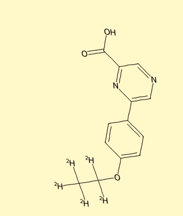 [2H]C([2H])([2H])C([2H])([2H])Oc1ccc(-c2cncc(C(=O)O)n2)cc1